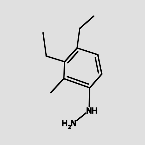 CCc1ccc(NN)c(C)c1CC